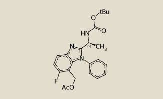 CC(=O)OCc1c(F)ccc2nc([C@H](C)NC(=O)OC(C)(C)C)n(-c3ccccc3)c12